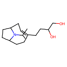 CC(C)N1C2C/C=C(\CCC(O)CO)CCC1CC2